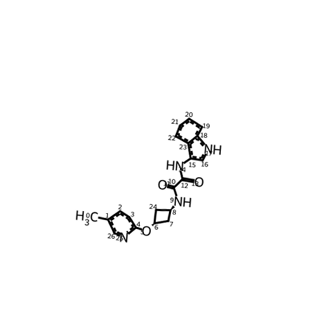 Cc1ccc(O[C@H]2C[C@H](NC(=O)C(=O)Nc3c[nH]c4ccccc34)C2)nc1